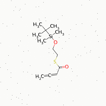 C=C=CC(=O)SCCO[Si](C)(C)C(C)(C)C